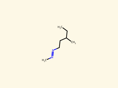 CCC(C)CCN=NC